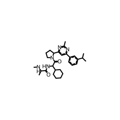 CNC(C)C(=O)NC(C(=O)N1CCCC1c1cc(-c2cccc(C(C)C)c2)nc(C)n1)C1CCCCC1